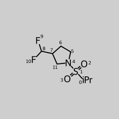 CC(C)S(=O)(=O)N1CCC(C(F)F)C1